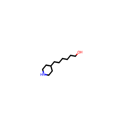 OCCCCCCC1CCNCC1